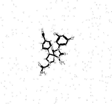 CN1C(=O)N(c2cc(Cl)cc(Cl)c2)C(=O)[C@]12CN(CC(N)=O)C[C@H]2c1ccc(C#N)cc1